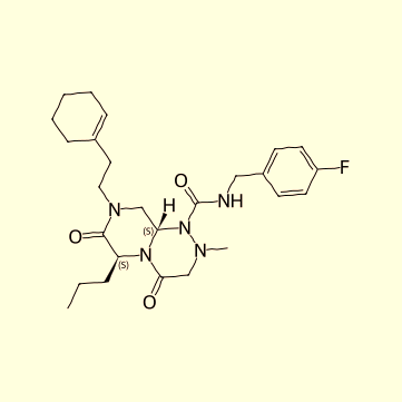 CCC[C@H]1C(=O)N(CCC2=CCCCC2)C[C@H]2N1C(=O)CN(C)N2C(=O)NCc1ccc(F)cc1